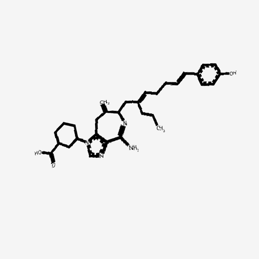 C=C1Cc2c(ncn2C2CCCC(C(=O)O)C2)C(N)=NC1C/C(=C/CC/C=C/c1ccc(O)cc1)CCC